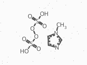 Cn1ccnc1.O=S(=O)(O)OOS(=O)(=O)O